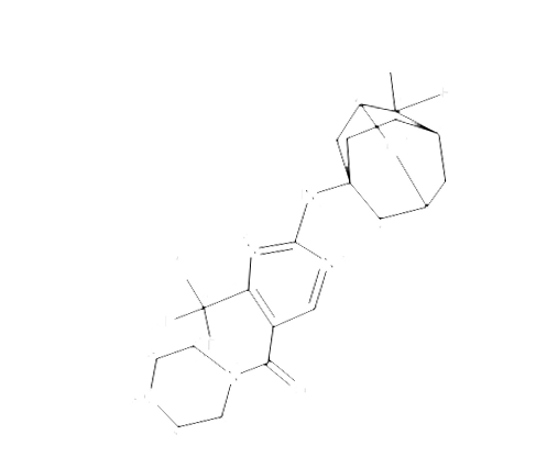 O=C(c1cnc(NC23CCC4CC(CC(C2)C4(F)F)C3)nc1C(F)(F)F)N1CCOCC1